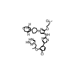 C[C@@H](CN(C=N)N=N)Oc1cc(-c2cnc(Nc3cn([C@H]4CC[C@H](N5[C@@H]6CC[C@H]5COC6)CC4)nc3OCC[S+](C)[O-])nc2)ccc1Cl